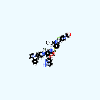 CC(C)c1ccccc1C1CCCN1C1CC2(CCN(c3cc(Oc4cnc5[nH]ccc5c4)c(C(=O)NSc4ccc(NCC5(F)CCN(C6COC6)CC5)c([N+](=O)[O-])c4)cc3F)CC2)C1